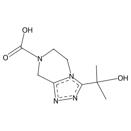 CC(C)(O)c1nnc2n1CCN(C(=O)O)C2